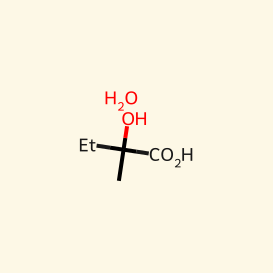 CCC(C)(O)C(=O)O.O